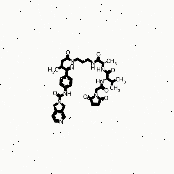 CC1CC(=O)N(CCCNC(=O)[C@H](C)NC(=O)[C@@H](NC(=O)CN2C(=O)C=CC2=O)C(C)C)N=C1c1ccc(NC(=O)N2Cc3ccncc3C2)cc1